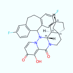 O=C1c2c(O)c(=O)ccn2N(C2c3ccc(F)cc3CCc3cc(F)ccc32)[C@@H]2[C@H]3C[C@@H]4CC[C@@]3(CCN12)C4